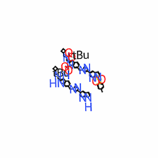 Cc1ccc(S(=O)(=O)n2ccc3cc(-c4cn(Cc5ccc6cc(CN(CC7CCC7)C(=O)OC(C)(C)C)n(C(=O)OC(C)(C)C)c6c5)cn4)cnc32)cc1.c1cc2cc(-c3cn(Cc4ccc5cc(CNCC6CCC6)[nH]c5c4)cn3)cnc2[nH]1